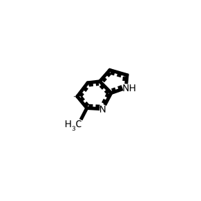 Cc1[c]cc2cc[nH]c2n1